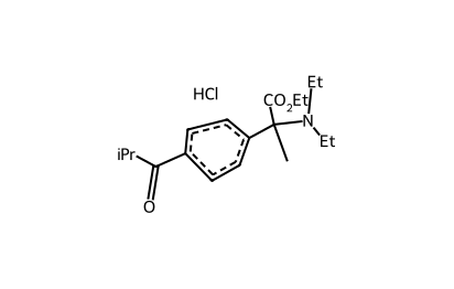 CCOC(=O)C(C)(c1ccc(C(=O)C(C)C)cc1)N(CC)CC.Cl